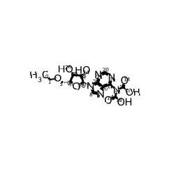 CCOC[C@H]1O[C@@H](n2cnc3c(N(C(=O)O)C(=O)O)ncnc32)[C@H](O)[C@@H]1O